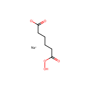 O=C([O-])CCCCC(=O)OO.[Na+]